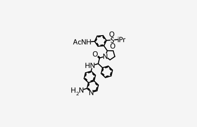 CC(=O)Nc1ccc(S(=O)(=O)C(C)C)c(C2CCCN2C(=O)C(Nc2ccc3c(N)nccc3c2)c2ccccc2)c1